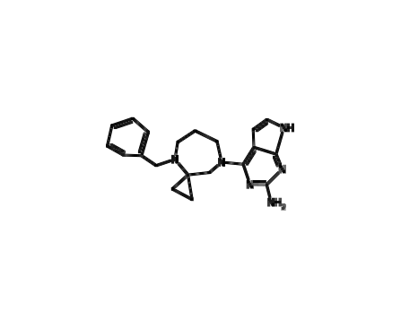 Nc1nc(N2CCCN(Cc3ccccc3)C3(CC3)C2)c2cc[nH]c2n1